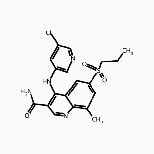 CCCS(=O)(=O)c1cc(C)c2ncc(C(N)=O)c(Nc3cncc(Cl)c3)c2c1